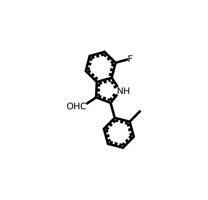 Cc1ccccc1-c1[nH]c2c(F)cccc2c1C=O